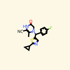 CC1=C(C#N)NC(=O)CN1C(c1ccc(F)cc1)c1cnc(C2CC2)s1